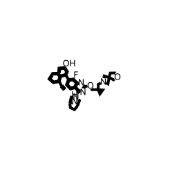 C#Cc1cccc2cc(O)cc(-c3ccc4c(N5CC6CCC(C5)N6)nc(OCC5(CN6CC7(CCOC7)C6)CC5)nc4c3F)c12